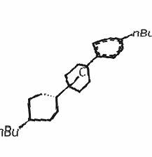 CCCCc1ccc(C23CCC([C@H]4CC[C@H](CCCC)CC4)(CC2)CC3)cc1